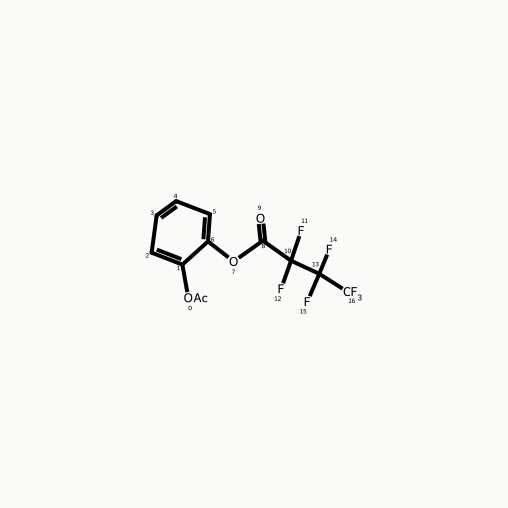 CC(=O)Oc1ccccc1OC(=O)C(F)(F)C(F)(F)C(F)(F)F